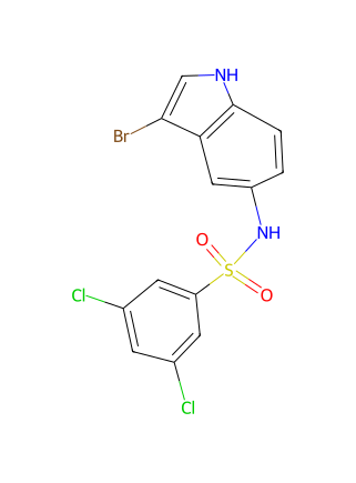 O=S(=O)(Nc1ccc2[nH]cc(Br)c2c1)c1cc(Cl)cc(Cl)c1